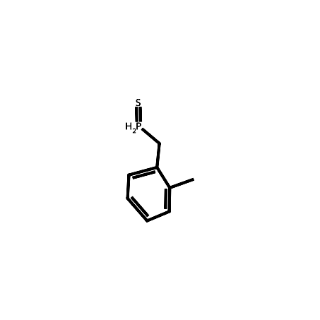 Cc1ccccc1C[PH2]=S